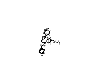 O=C([C@@H]1C[C@@H](S(=O)(=O)O)CN1C(=O)OCc1ccccc1)N1CCOCC1